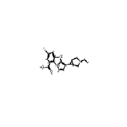 CCN1CC2C(C1)C2c1cnn2c1[nH]c1cc(F)cc(C(N)=O)c12